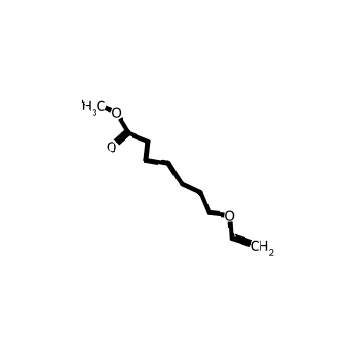 C=COCCCCCCC(=O)OC